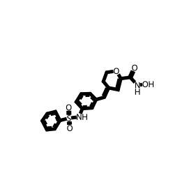 O=C(NO)C1=C/C(=C/c2cccc(NS(=O)(=O)c3ccccc3)c2)CCO1